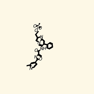 Cc1cc(-c2nc(C(=O)Nc3cn4cc(CCOS(C)(=O)=O)nc4cc3-c3ccccc3)co2)ccn1